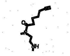 C#CCCCCC(=O)N(C)CCNC